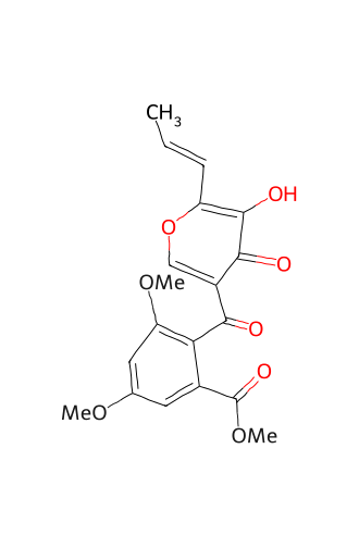 C/C=C/c1occ(C(=O)c2c(OC)cc(OC)cc2C(=O)OC)c(=O)c1O